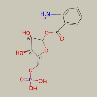 Nc1ccccc1C(=O)OC1O[C@H](COP(=O)(O)O)[C@@H](O)[C@H]1O